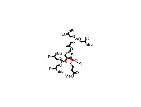 CCCCC(CC)COP(OCC(CC)CCCC)SCC(C)OP(OC(C)CSP(OCC(CC)CCCC)OCC(CC)CCCC)SCC(C)OP(OC(C)C)SCCC(=O)OC